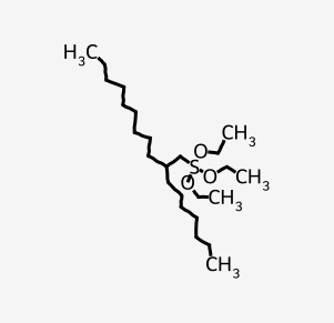 CCCCCCCCCC(CCCCCCC)CS(OCC)(OCC)OCC